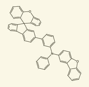 c1ccc(N(c2cccc(-c3ccc4c(c3)C3(c5ccccc5Oc5ccccc53)c3ccccc3-4)c2)c2ccc3oc4ccccc4c3c2)cc1